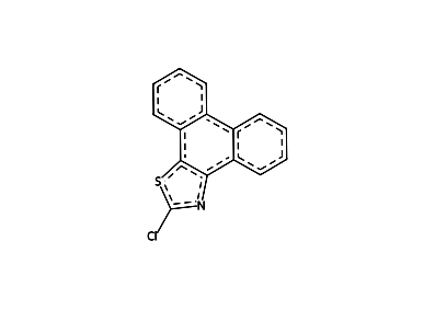 Clc1nc2c3ccccc3c3ccccc3c2s1